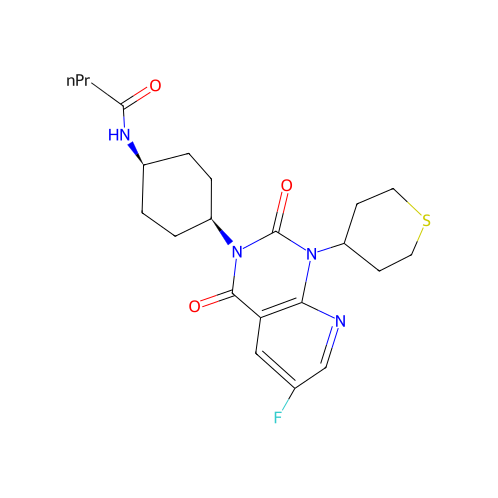 CCCC(=O)N[C@H]1CC[C@@H](n2c(=O)c3cc(F)cnc3n(C3CCSCC3)c2=O)CC1